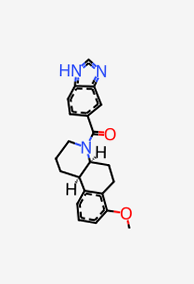 COc1cccc2c1CC[C@H]1[C@@H]2CCCN1C(=O)c1ccc2[nH]cnc2c1